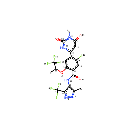 Cc1n[nH]c(C(F)(F)F)c1NC(=O)c1cc(F)c(-c2cc(=O)n(C)c(=O)[nH]2)cc1OC(C)C(F)(F)F